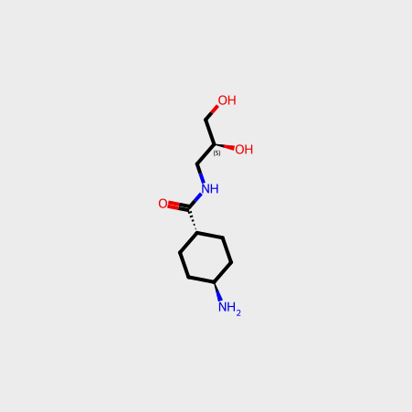 N[C@H]1CC[C@H](C(=O)NC[C@H](O)CO)CC1